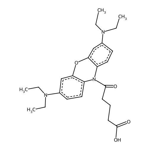 CCN(CC)c1ccc2c(c1)Oc1cc(N(CC)CC)ccc1N2C(=O)CCCC(=O)O